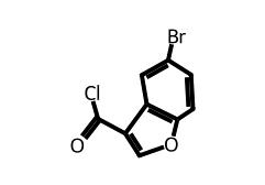 O=C(Cl)c1coc2ccc(Br)cc12